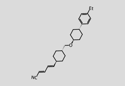 CCc1ccc([C@H]2CC[C@H](OC[C@H]3CC[C@H](C=CC=CC#N)CC3)CC2)cc1